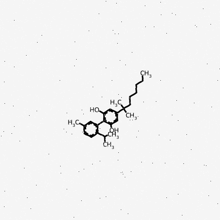 CCCCCCC(C)(C)c1cc(O)c(-c2cc(C)ccc2C(C)C)c(O)c1